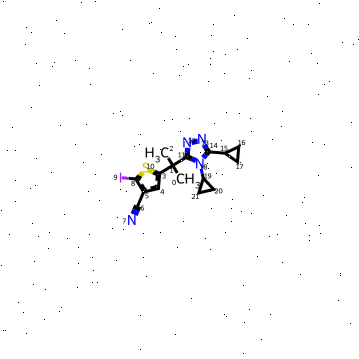 CC(C)(c1cc(C#N)c(I)s1)c1nnc(C2CC2)n1C1CC1